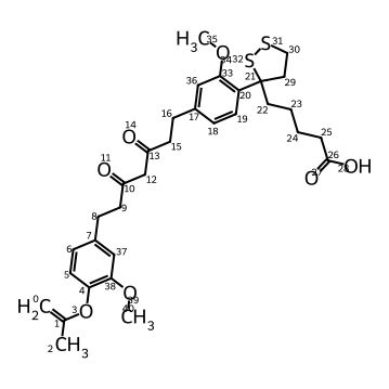 C=C(C)Oc1ccc(CCC(=O)CC(=O)CCc2ccc(C3(CCCCC(=O)O)CCSS3)c(OC)c2)cc1OC